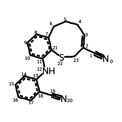 N#C/C1=C/CCCc2cccc(Nc3ccccc3C#N)c2SC1